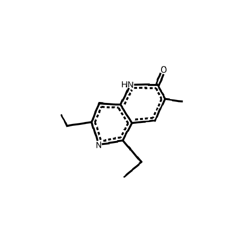 CCc1cc2[nH]c(=O)c(C)cc2c(CC)n1